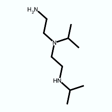 CC(C)NCCN(CCN)C(C)C